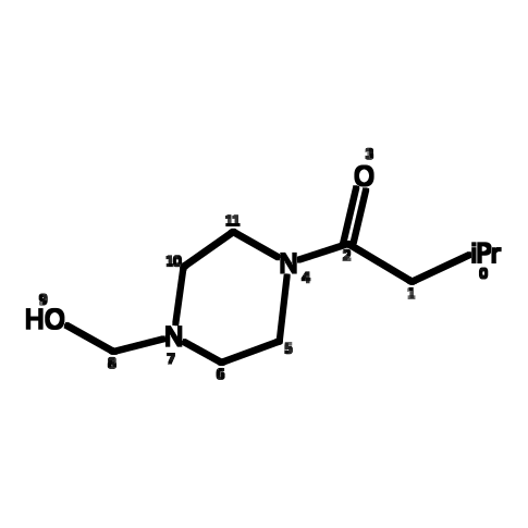 CC(C)CC(=O)N1CCN(CO)CC1